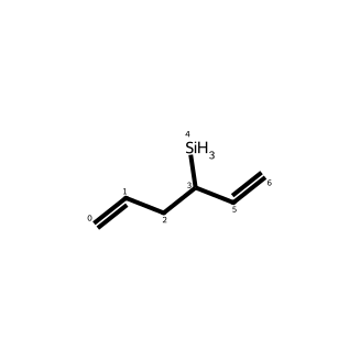 C=CCC([SiH3])C=C